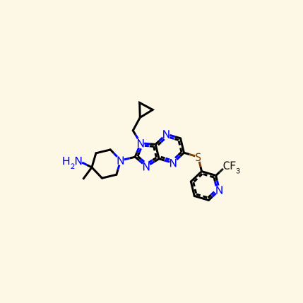 CC1(N)CCN(c2nc3nc(Sc4cccnc4C(F)(F)F)cnc3n2CC2CC2)CC1